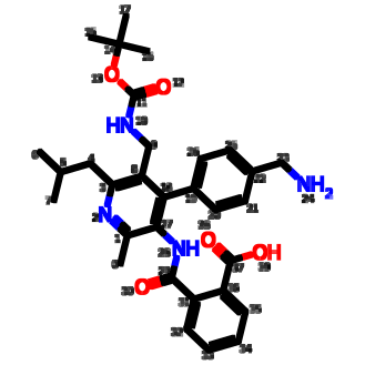 Cc1nc(CC(C)C)c(CNC(=O)OC(C)(C)C)c(-c2ccc(CN)cc2)c1NC(=O)c1ccccc1C(=O)O